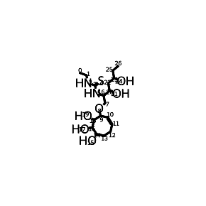 CCNC(=S)NC(COC1/C=C\CCC(O)C(O)C1O)C(O)CC(O)CC